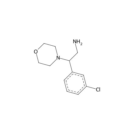 NCC(c1cccc(Cl)c1)N1CCOCC1